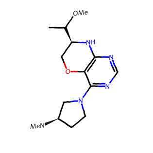 CN[C@@H]1CCN(c2ncnc3c2OC[C@@H](C(C)OC)N3)C1